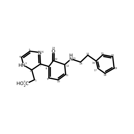 O=C(O)CC1NC=CN=C1C1=CC=CC(NCCc2ccccc2)C1=O